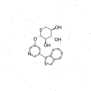 O[C@@H]1[C@@H](O)[C@H](Oc2cncc(-c3scc4ccccc34)c2)SC[C@H]1O